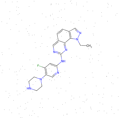 CCn1ncc2ccc3cnc(Nc4cc(F)c(N5CCNCC5)cn4)nc3c21